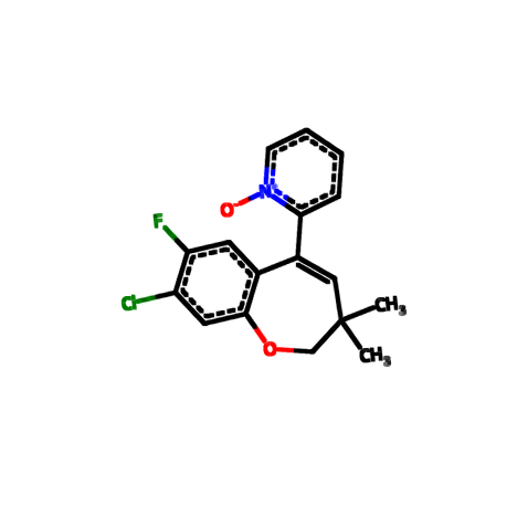 CC1(C)C=C(c2cccc[n+]2[O-])c2cc(F)c(Cl)cc2OC1